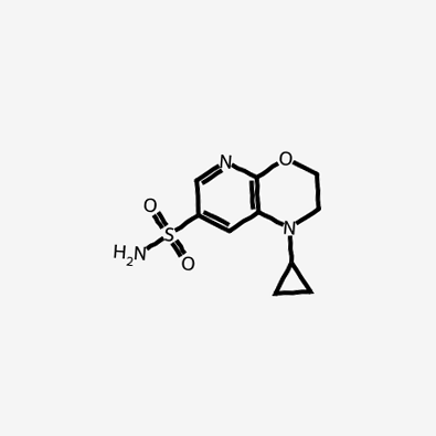 NS(=O)(=O)c1cnc2c(c1)N(C1CC1)CCO2